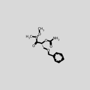 CON(C)C(=O)[C@@H](COCc1ccccc1)OC(N)=O